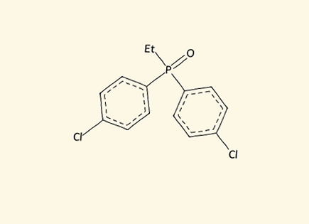 CCP(=O)(c1ccc(Cl)cc1)c1ccc(Cl)cc1